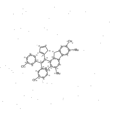 Cc1cc2c(cc1C(C)(C)C)-c1cc(C(C)(C)C)c(C)[c]([Zr]([C]3=CC=CC3)=[C](c3cccc(Cl)c3)c3cccc(Cl)c3)c1C2